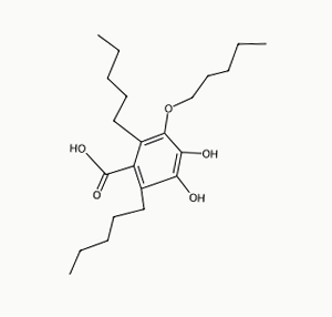 CCCCCOc1c(O)c(O)c(CCCCC)c(C(=O)O)c1CCCCC